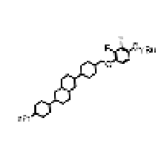 CCCCOc1ccc(OCC2CCC(C3CCC4CC(C5CCC(CCC)CC5)CCC4C3)CC2)c(F)c1F